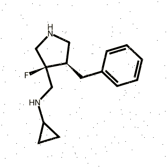 F[C@@]1(CNC2CC2)CNC[C@H]1Cc1ccccc1